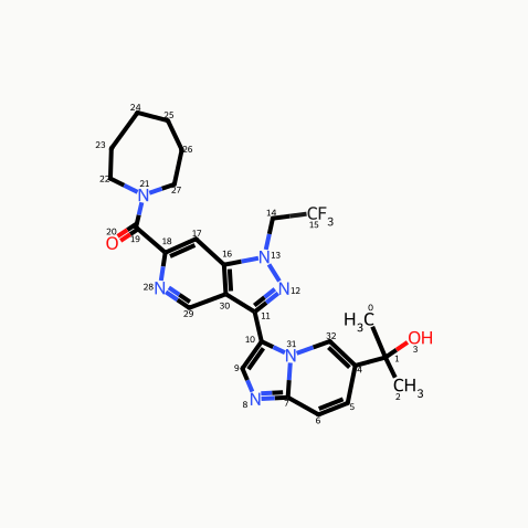 CC(C)(O)c1ccc2ncc(-c3nn(CC(F)(F)F)c4cc(C(=O)N5CCCCCC5)ncc34)n2c1